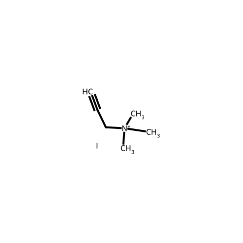 C#CC[N+](C)(C)C.[I-]